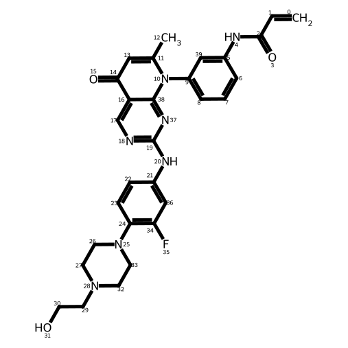 C=CC(=O)Nc1cccc(-n2c(C)cc(=O)c3cnc(Nc4ccc(N5CCN(CCO)CC5)c(F)c4)nc32)c1